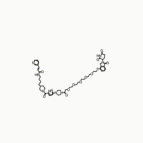 O=C(/C=C/c1cccnc1)NCCCCC1CCN(C(=O)c2ccc(N3CCN(C(=O)COCCOCCOCCOCCOCCSc4cccc5c4CN(C4CCC(=O)NC4=O)C5=O)CC3)nn2)CC1